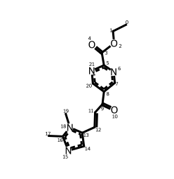 CCOC(=O)c1ncc(C(=O)/C=C/c2cnc(C)n2C)cn1